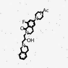 CC(=O)N1CCN(c2cc(F)c3c(c2)CCN(C[C@H](O)CN2CCc4ccccc4C2)C3=O)CC1